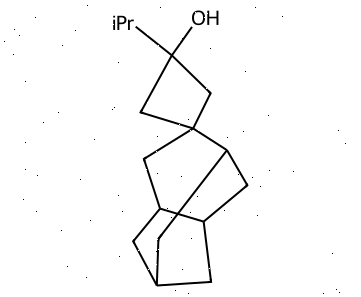 CC(C)C1(O)CC2(CC3CC4CC3CC2C4)C1